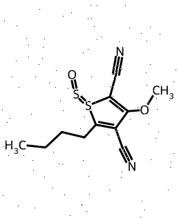 CCCCC1=C(C#N)C(OC)=C(C#N)S1=S=O